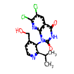 CC(C)c1nccc(CO)c1-n1c(=O)[nH]c(=O)c2cc(Cl)c(Cl)nc21